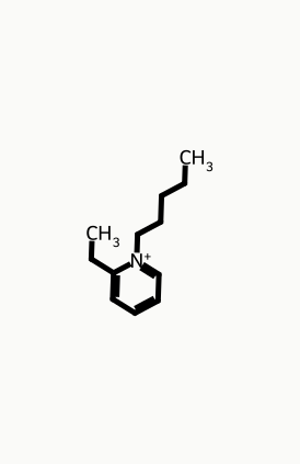 CCCCC[n+]1ccccc1CC